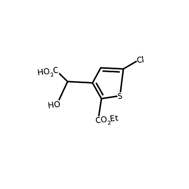 CCOC(=O)c1sc(Cl)cc1C(O)C(=O)O